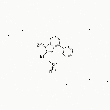 CCC1=Cc2c(-c3ccccc3)cccc2[CH]1[Zr+2].C[SiH2]C.[Cl-].[Cl-]